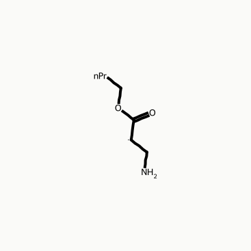 CCCCOC(=O)[CH]CN